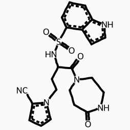 N#Cc1cccn1CCC(NS(=O)(=O)c1cccc2[nH]ccc12)C(=O)N1CCNC(=O)CC1